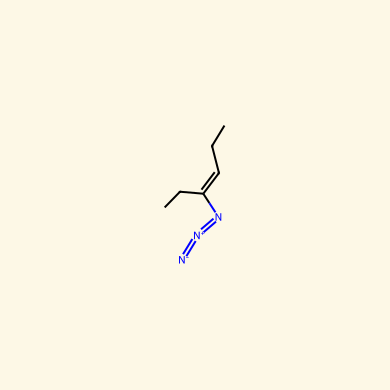 CC/C=C(\CC)N=[N+]=[N-]